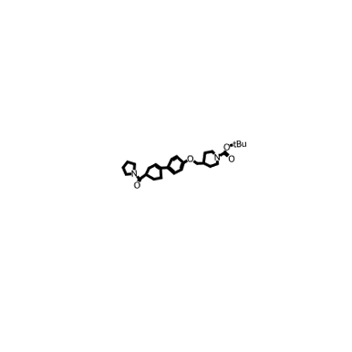 CC(C)(C)OC(=O)N1CCC(COc2ccc(C3=CCC(C(=O)N4CCCC4)CC3)cc2)CC1